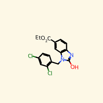 CCOC(=O)c1ccc2nc(O)n(Cc3ccc(Cl)cc3Cl)c2c1